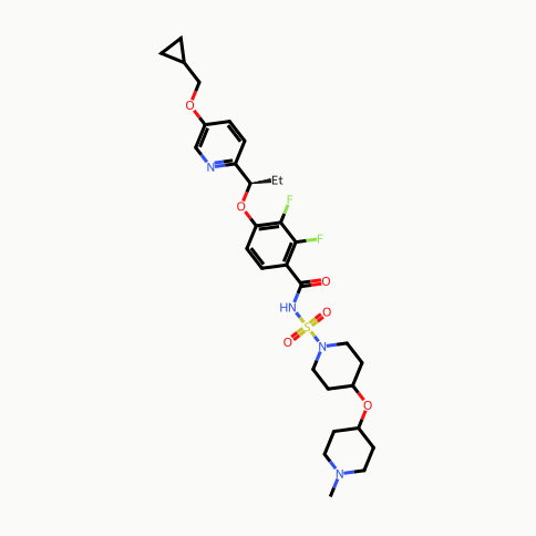 CC[C@@H](Oc1ccc(C(=O)NS(=O)(=O)N2CCC(OC3CCN(C)CC3)CC2)c(F)c1F)c1ccc(OCC2CC2)cn1